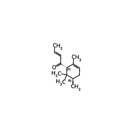 CC=CC(=O)[C@@H]1C(C)=CC[C@@H](C)C1(C)C